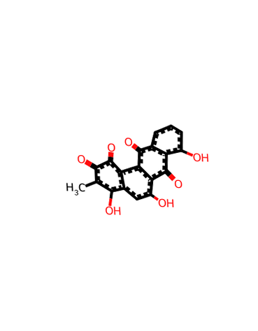 Cc1c(O)c2cc(O)c3c(=O)c4c(O)cccc4c(=O)c3c2c(=O)c1=O